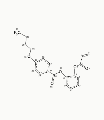 C=CC(=O)Oc1ccccc1OC(=O)c1ccc(OCCCC(F)(F)F)cc1